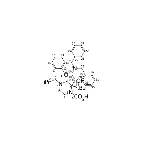 CC(C)CN1CCN(C(=O)O)[C@]([C@@H](O)[C@H](Cc2ccccc2)N(Cc2ccccc2)Cc2ccccc2)(C(C)(C)C)C1=O